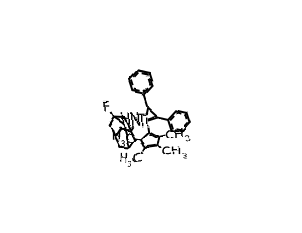 CC1=C(C)C(C)[C]([Ti]2([NH]C34CC5CC(CC(F)(C5)C3)C4)[CH](c3ccccc3)[CH]2c2ccccc2)=C1C